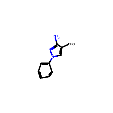 Nc1nn(-c2ccccc2)cc1C=O